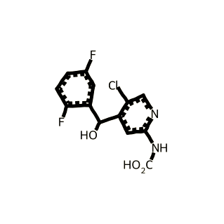 O=C(O)Nc1cc(C(O)c2cc(F)ccc2F)c(Cl)cn1